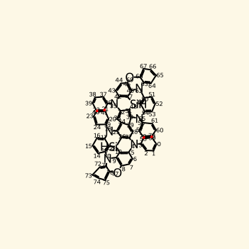 c1ccc(N2c3ccc4c5c3[SiH]3c6c(cccc6N(c6ccccc6)c6c3c2cc2c3c7c(cc62)N(c2ccccc2)c2ccc6c8c2[SiH]7c2c(cccc2N3c2ccccc2)N8c2ccccc2O6)N5c2ccccc2O4)cc1